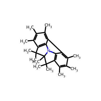 Cc1c(C)c2c3c(c1C)c1c(C)c(C)c(C)c4c1n3C(C)(C2(C)C)C4(C)C